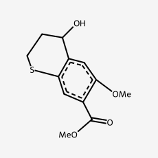 COC(=O)c1cc2c(cc1OC)C(O)CCS2